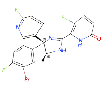 C[C@@H]1NC(c2[nH]c(=O)ccc2F)=N[C@@]1(c1ccc(F)nc1)c1ccc(F)c(Br)c1